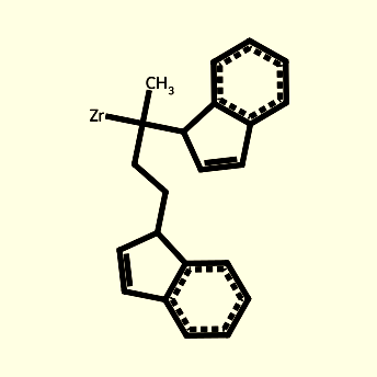 C[C]([Zr])(CCC1C=Cc2ccccc21)C1C=Cc2ccccc21